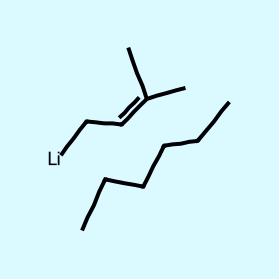 CCCCCC.[Li][CH2]C=C(C)C